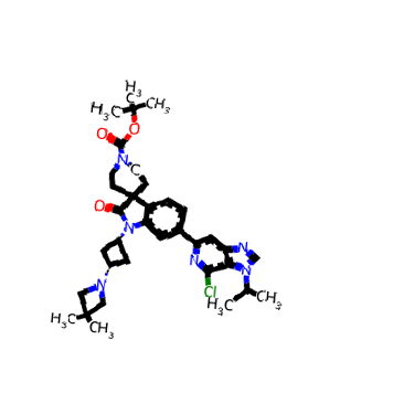 CC(C)n1cnc2cc(-c3ccc4c(c3)N([C@H]3C[C@@H](N5CC(C)(C)C5)C3)C(=O)C43CCN(C(=O)OC(C)(C)C)CC3)nc(Cl)c21